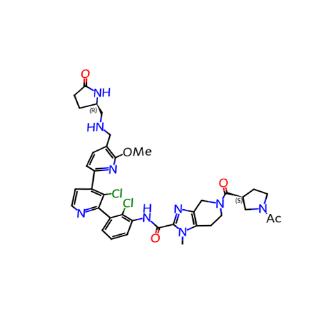 COc1nc(-c2ccnc(-c3cccc(NC(=O)c4nc5c(n4C)CCN(C(=O)[C@H]4CCN(C(C)=O)C4)C5)c3Cl)c2Cl)ccc1CNC[C@H]1CCC(=O)N1